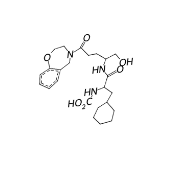 O=C(O)NC(CC1CCCCC1)C(=O)NC(CO)CCC(=O)N1CCOc2ccccc2C1